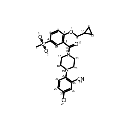 CS(=O)(=O)c1ccc(OCC2CC2)c(C(=O)N2CCN(c3ccc(Cl)cc3C#N)CC2)c1